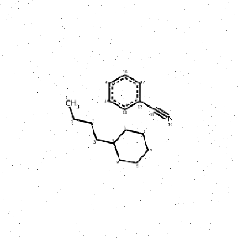 CCCCC1CCCCC1.N#Cc1ccccc1